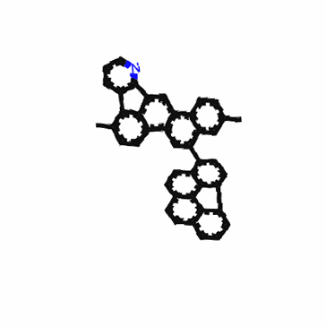 Cc1ccc2c(c1)c(-c1ccc3c4c1ccc1ccc5cccc-3c5c14)cc1c3ccc(C)c4c3c(cc21)-c1ncccc1-4